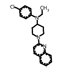 CCN(c1ccc(Cl)cc1)C1CCN(c2ccc3c[c]ccc3n2)CC1